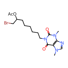 CC(=O)OC(CBr)CCCCCCn1c(=O)c2c(ncn2C)n(C)c1=O